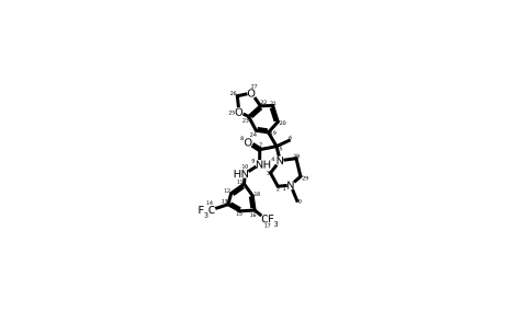 CN1CCN(C(C)(C(=O)NNc2cc(C(F)(F)F)cc(C(F)(F)F)c2)c2ccc3c(c2)OCO3)CC1